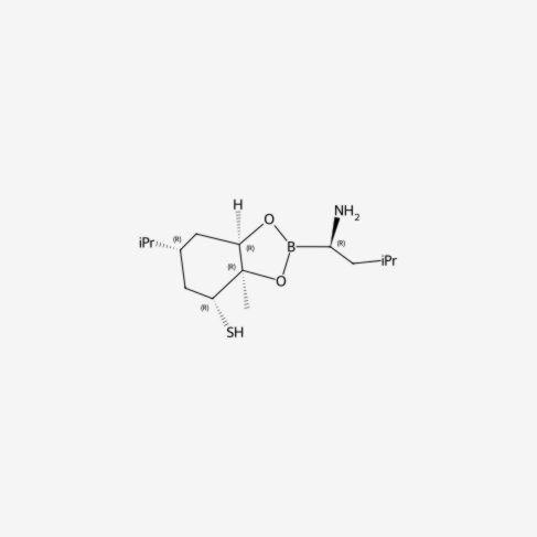 CC(C)C[C@H](N)B1O[C@@H]2C[C@@H](C(C)C)C[C@@H](S)[C@]2(C)O1